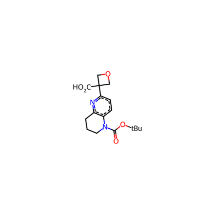 CC(C)(C)OC(=O)N1CCCc2nc(C3(C(=O)O)COC3)ccc21